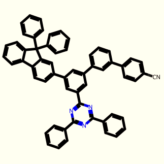 N#Cc1ccc(-c2cccc(-c3cc(-c4ccc5c(c4)C(c4ccccc4)(c4ccccc4)c4ccccc4-5)cc(-c4nc(-c5ccccc5)nc(-c5ccccc5)n4)c3)c2)cc1